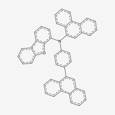 c1ccc2c(c1)cc(-c1ccc(N(c3cc4ccccc4c4ccccc34)c3cccc4c3oc3ccccc34)cc1)c1ccccc12